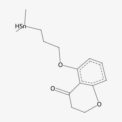 [CH3][SnH]([CH3])[CH2]CCOc1cccc2c1C(=O)CCO2